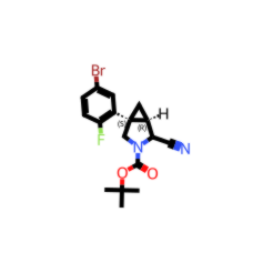 CC(C)(C)OC(=O)N1C[C@@]2(c3cc(Br)ccc3F)C[C@H]2C1C#N